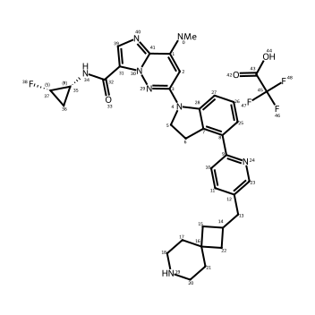 CNc1cc(N2CCc3c(-c4ccc(CC5CC6(CCNCC6)C5)cn4)cccc32)nn2c(C(=O)N[C@@H]3C[C@@H]3F)cnc12.O=C(O)C(F)(F)F